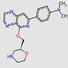 CN(C)c1ccc(-c2cc3nccnc3c(OC[C@@H]3CNCCO3)n2)cc1